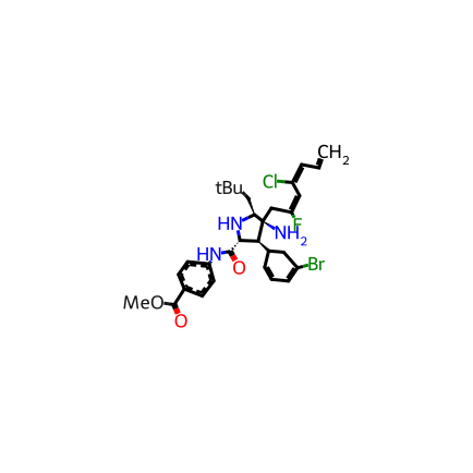 C=C/C=C(Cl)\C=C(\F)C[C@@]1(N)[C@H](CC(C)(C)C)N[C@@H](C(=O)Nc2ccc(C(=O)OC)cc2)[C@@H]1C1C=CC=C(Br)C1